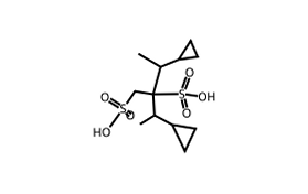 CC(C1CC1)C(CS(=O)(=O)O)(C(C)C1CC1)S(=O)(=O)O